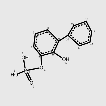 O=P(O)(O)Oc1cccc(-c2ccccc2)c1O